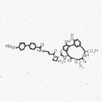 CCCCCCCCCc1ccc(-c2ccc(C(=O)NCCC(=O)N3CC[C@H]3C(=O)N(C)[C@@H]3C(=O)N[C@@H](C)C(=O)N[C@H](C(=O)O)Cc4ccc(O)c(c4)-c4cc3ccc4O)cc2)cc1